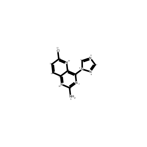 Nc1nc(-n2cncn2)c2nc(Cl)ccc2n1